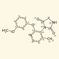 COc1cccc(Oc2nccc(C)c2N2C(=O)CNC2=O)c1